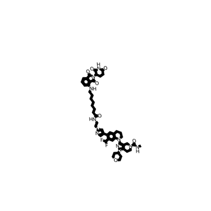 CNC(=O)N1CCc2c(c(N3CCCc4cc(-c5cnn(CCNC(=O)CCCCCCCNc6cccc7c6C(=O)N(C6CCC(=O)NC6=O)C7=O)c5)c(C(F)F)cc43)nn2C2CCOCC2)C1